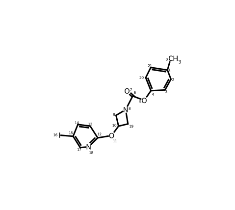 Cc1ccc(OC(=O)N2CC(Oc3ccc(I)cn3)C2)cc1